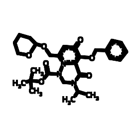 CC(C)N1CN(C(=O)OC(C)(C)C)n2c(COC3CCCCO3)cc(=O)c(OCc3ccccc3)c2C1=O